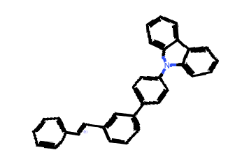 C(=C\c1cccc(-c2ccc(-n3c4ccccc4c4ccccc43)cc2)c1)/c1ccccc1